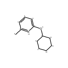 Cc1cccc(OC2CCCCC2)n1